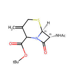 C=C1CS[C@H]2[C@H](NC(C)=O)C(=O)N2C1C(=O)OC(C)(C)C